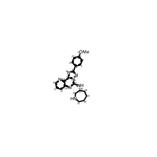 COc1ccc(-c2nc3c4ncccc4nc(N[C@@H]4CCCCNC4)n3n2)cc1